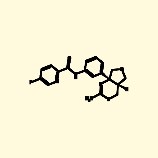 NC1=N[C@@]2(c3cccc(NC(=O)c4ccc(F)cn4)c3)COC[C@H]2CS1